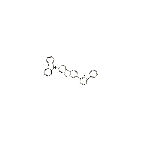 c1ccc2c(c1)Cc1c(-c3ccc4c(c3)Cc3cc(-n5c6ccccc6c6ccccc65)ccc3-4)cccc1-2